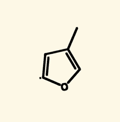 Cc1c[c]oc1